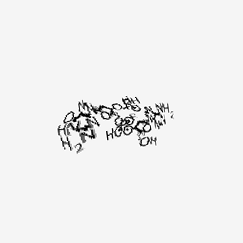 Nc1nc2c(ncn2[C@H]2CC(OC[PH](=O)O)[C@@H](COP(=O)(O)OC3C(F)[C@H](n4cnc5c(N)ncnc54)O[C@@H]3CO)O2)c(=O)[nH]1